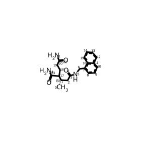 C[C@@H](CC(=O)NCc1cccc2ccccc12)C(CCC(N)=O)C(N)=O